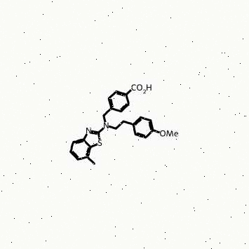 COc1ccc(CCN(Cc2ccc(C(=O)O)cc2)c2nc3cccc(C)c3s2)cc1